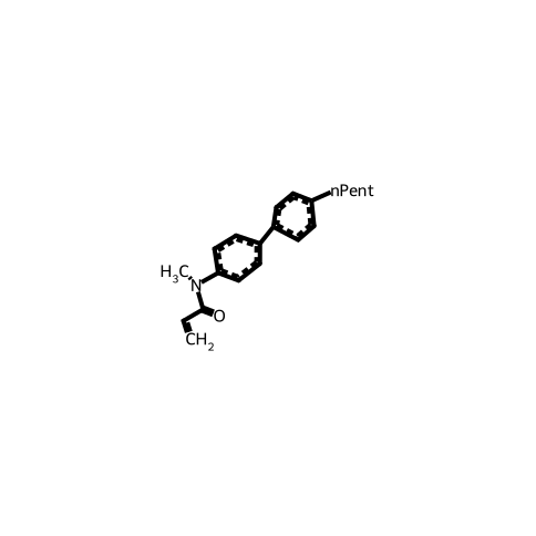 C=CC(=O)N(C)c1ccc(-c2ccc(CCCCC)cc2)cc1